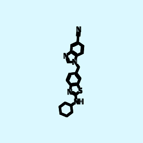 N#Cc1ccc2c(c1)ncn2Cc1ccc2nc(NC3CCCCC3)sc2c1